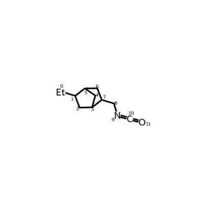 CCC1CC2CC1CC2CN=C=O